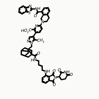 Cc1c(-c2ccc(N3CCc4cccc(C(=O)Nc5nc6ccccc6s5)c4C3)nc2C(=O)O)cnn1CC12CC3CC(C1)CC(C(=O)NCCCCNc1cccc4c1C(=O)N(C1CCC(=O)NC1=O)C4=O)(C3)C2